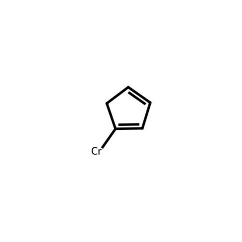 [Cr][C]1=CC=CC1